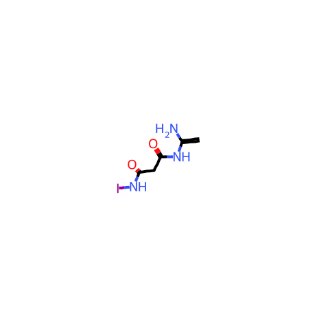 C=C(N)NC(=O)CC(=O)NI